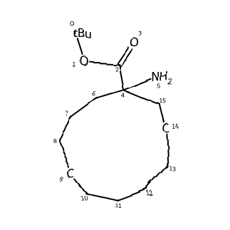 CC(C)(C)OC(=O)C1(N)CCCCCCCCCC1